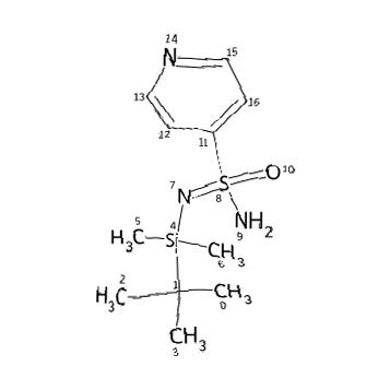 CC(C)(C)[Si](C)(C)N=S(N)(=O)c1ccncc1